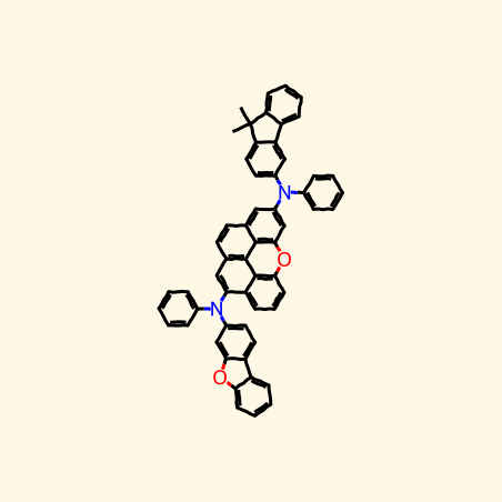 CC1(C)c2ccccc2-c2cc(N(c3ccccc3)c3cc4c5c(ccc6cc(N(c7ccccc7)c7ccc8c(c7)oc7ccccc78)c7cccc(c7c65)O4)c3)ccc21